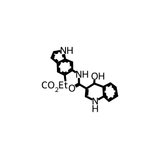 CCOC(=O)c1cc2cc[nH]c2cc1NC(=O)C1=CNc2ccccc2C1O